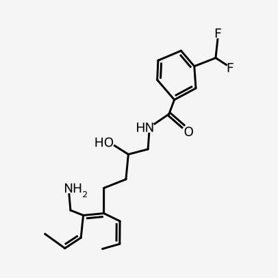 C\C=C/C(CN)=C(\C=C/C)CCC(O)CNC(=O)c1cccc(C(F)F)c1